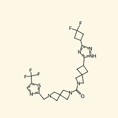 O=C(N1CC2(CC(c3nc(C4CC(F)(F)C4)n[nH]3)C2)C1)N1CC2(CN(Cc3ncc(C(F)(F)F)s3)C2)C1